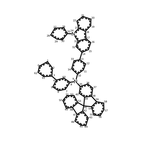 c1ccc(-c2cccc(N(c3ccc(-c4ccc5c6ccccc6n(-c6ccccc6)c5c4)cc3)c3ccc4c(c3)C3(c5ccccc5-c5ccccc53)c3ccccc3-4)c2)cc1